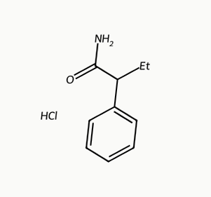 CCC(C(N)=O)c1ccccc1.Cl